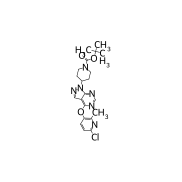 Cc1nc(Cl)ccc1Oc1ncnc2c1cnn2C1CCN(C(=O)OC(C)(C)C)CC1